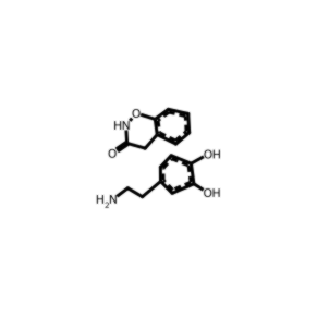 NCCc1ccc(O)c(O)c1.O=C1Cc2ccccc2ON1